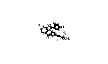 CN1CCOCC(N(C(=O)c2ccc(Cl)cc2Cl)c2cc(C#CC(C)(C)C)sc2C(=O)O)C1=O